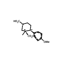 COc1ccc([C@@H]2CCN(C(=O)O)C[C@]2(C)C(=O)O)cc1